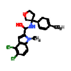 Cn1c(C(O)NC2(C3C=CC(C(=O)O)=CC3)CCOC2)cc2c(Cl)c(Cl)ccc21